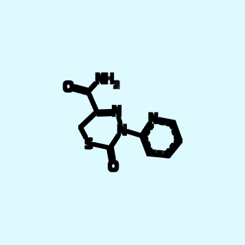 NC(=O)C1=NN(c2ccccn2)C(=O)SC1